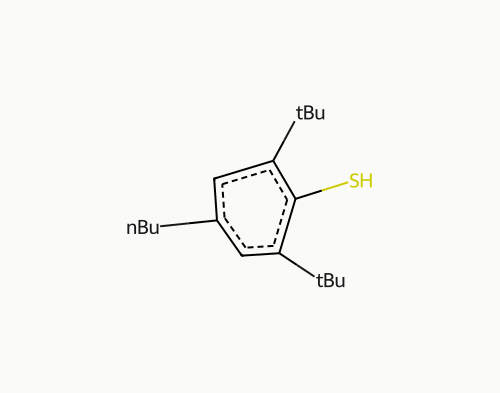 CCCCc1cc(C(C)(C)C)c(S)c(C(C)(C)C)c1